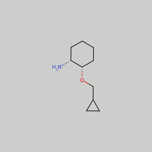 N[C@@H]1CCCC[C@@H]1OCC1CC1